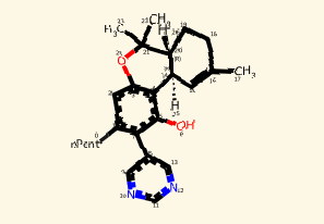 CCCCCc1cc2c(c(O)c1-c1cncnc1)[C@@H]1C=C(C)CC[C@H]1C(C)(C)O2